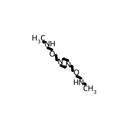 CCNCCOCCN1CCN(CCOCCNCC)CC1